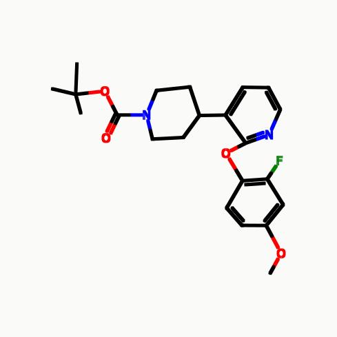 COc1ccc(Oc2ncccc2C2CCN(C(=O)OC(C)(C)C)CC2)c(F)c1